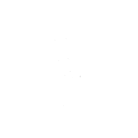 COc1ncc(-c2nc3c(n2C(C)C)C2(C(=O)Nc4cc(Cl)ccc42)N(c2ccc(OC(F)(F)F)c(Cl)c2)C3=O)c(OC)n1